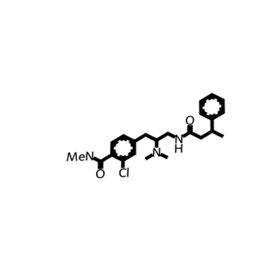 CNC(=O)c1ccc(CC(CNC(=O)CC(C)c2ccccc2)N(C)C)cc1Cl